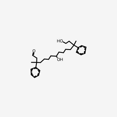 CC(CC=O)(CCCCC(O)CCCCC(C)(CCO)c1ccccc1)c1ccccc1